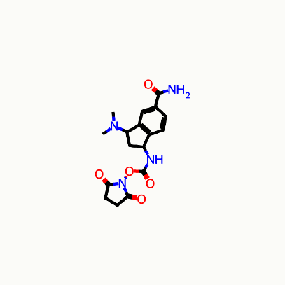 CN(C)C1CC(NC(=O)ON2C(=O)CCC2=O)c2ccc(C(N)=O)cc21